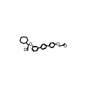 c1cc(OC(C2CCCCCCC2)C2CO2)cc(-c2ccc(-c3ccc(OCC4CO4)cc3)cc2)c1